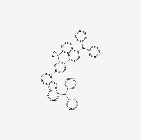 c1ccc(C(c2ccccc2)c2cccc3c2oc2c(-c4ccc5c(c4)C4(CC4)c4cccc6c(N(c7ccccc7)c7ccccc7)ccc-5c46)cccc23)cc1